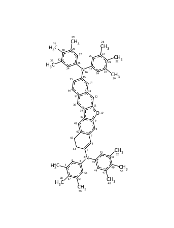 Cc1cc(N(C2=Cc3cc4oc5cc6cc(N(c7cc(C)c(C)c(C)c7)c7cc(C)c(C)c(C)c7)ccc6cc5c4cc3CC2)c2cc(C)c(C)c(C)c2)cc(C)c1C